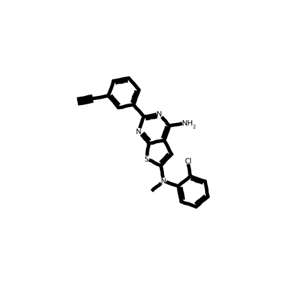 C#Cc1cccc(-c2nc(N)c3cc(N(C)c4ccccc4Cl)sc3n2)c1